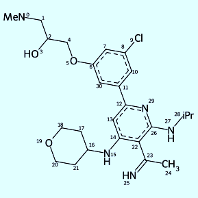 CNCC(O)COc1cc(Cl)cc(-c2cc(NC3CCOCC3)c(C(C)=N)c(NC(C)C)n2)c1